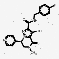 CN1CC(c2ccncc2)n2nc(C(=O)NCc3ccc(F)cc3)c(O)c2C1=O